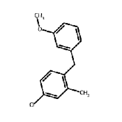 COc1cccc(Cc2ccc(Cl)cc2C)c1